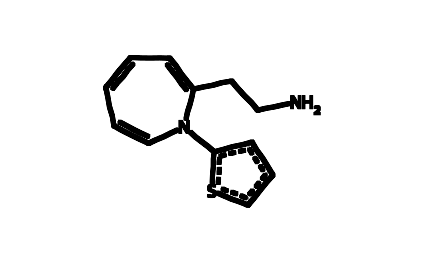 NCCC1=CC=CC=CN1c1cccs1